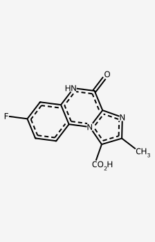 Cc1nc2c(=O)[nH]c3cc(F)ccc3n2c1C(=O)O